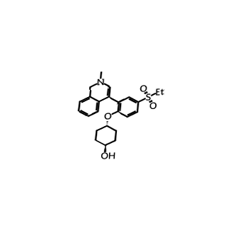 CCS(=O)(=O)c1ccc(O[C@H]2CC[C@H](O)CC2)c(C2=CN(C)Cc3ccccc32)c1